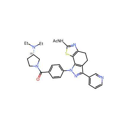 CCN(CC)[C@H]1CCN(C(=O)c2ccc(-n3nc(-c4cccnc4)c4c3-c3sc(NC(C)=O)nc3CC4)cc2)C1